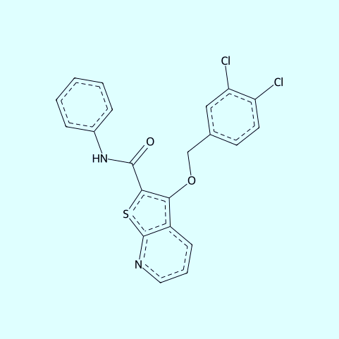 O=C(Nc1ccccc1)c1sc2ncccc2c1OCc1ccc(Cl)c(Cl)c1